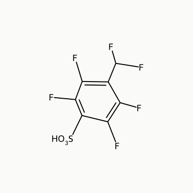 O=S(=O)(O)c1c(F)c(F)c(C(F)F)c(F)c1F